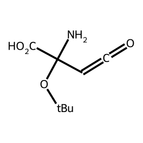 CC(C)(C)OC(N)(C=C=O)C(=O)O